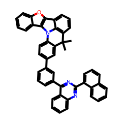 CC1(C)c2cc(-c3cccc(-c4nc(-c5cccc6ccccc56)nc5ccccc45)c3)ccc2-n2c3c1cccc3c1oc3ccccc3c12